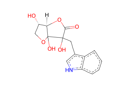 O=C1O[C@@H]2[C@@H](O)COC2(O)C1(O)Cc1c[nH]c2ccccc12